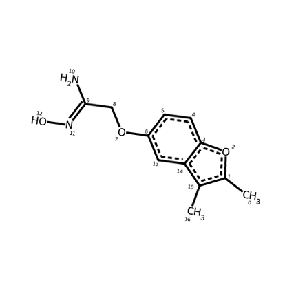 Cc1oc2ccc(OCC(N)=NO)cc2c1C